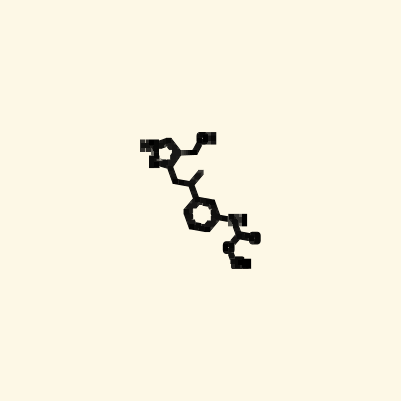 CC(Cc1n[nH]cc1CO)c1cccc(NC(=O)OC(C)(C)C)c1